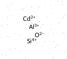 [Al+3].[Cd+2].[O-2].[Si+4]